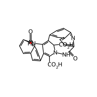 O=C(O)C1=c2c([nH]c(=O)c3ccc4cc2ccc4n3)=C2c3ccc4nc(ccc4c3)C(=O)NN1C2C(=O)O